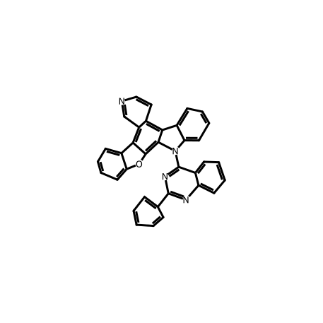 c1ccc(-c2nc(-n3c4ccccc4c4c5ccncc5c5c6ccccc6oc5c43)c3ccccc3n2)cc1